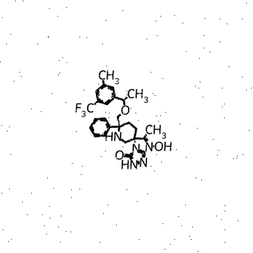 C/C(=N\O)[C@]1(n2cn[nH]c2=O)CC[C@@](CO[C@H](C)c2cc(C)cc(C(F)(F)F)c2)(c2ccccc2)NC1